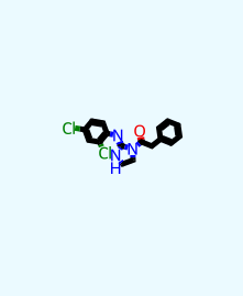 O=C(Cc1ccccc1)N1CCN/C1=N\c1ccc(Cl)cc1Cl